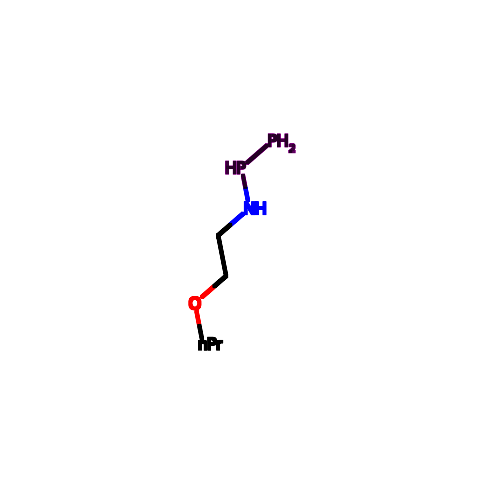 CCCOCCNPP